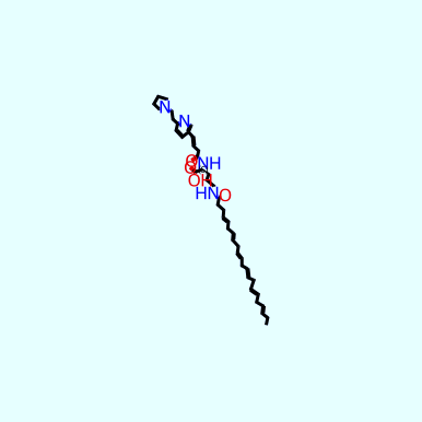 CCC=CCC=CCC=CCC=CCC=CCC=CCCC(=O)NCCC[C@H](NC(=O)CC=Cc1ccc(CCN2CCCC2)nc1)C(=O)O